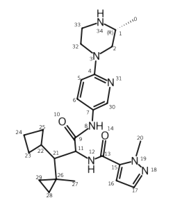 C[C@@H]1CN(c2ccc(NC(=O)C(NC(=O)c3ccnn3C)C(C3CCC3)C3(C)CC3)cn2)CCN1